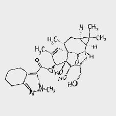 CC1=C[C@]23C(=O)[C@@H](C=C(CO)[C@@H](O)[C@]2(O)[C@H]1OC(=O)c1c2c(nn1C)CCCC2)[C@H]1[C@@H](C[C@H]3C)C1(C)C